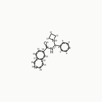 O=C(NC(c1ccccc1)N1CCC1)c1ccc2cnccc2c1